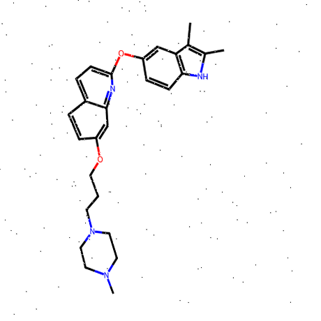 Cc1[nH]c2ccc(Oc3ccc4ccc(OCCCN5CCN(C)CC5)cc4n3)cc2c1C